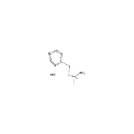 C[C@@H](N)CCc1ccccc1.Cl